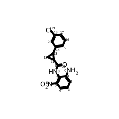 Nc1cccc([N+](=O)[O-])c1NC(=O)C1CC1c1cccc(Cl)c1